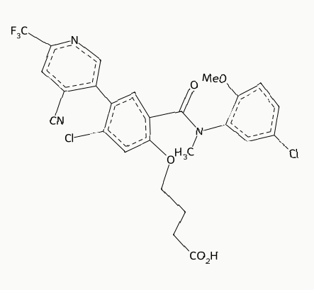 COc1ccc(Cl)cc1N(C)C(=O)c1cc(-c2cnc(C(F)(F)F)cc2C#N)c(Cl)cc1OCCCC(=O)O